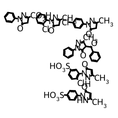 CC1=NN(c2ccc(Cl)cc2)C(=O)C1.CC1=NN(c2ccccc2)C(=O)C1C(=O)c1ccccc1.CC1=NN(c2ccccc2Cl)C(=O)C1.Cc1cc(=O)n(-c2cc(S(=O)(=O)O)ccc2Cl)[nH]1.Cc1cc(=O)n(-c2ccc(S(=O)(=O)O)cc2)[nH]1.O=C(O)C1=NN(c2ccccc2)C(=O)C1